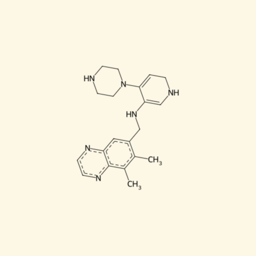 Cc1c(CNC2=CNCC=C2N2CCNCC2)cc2nccnc2c1C